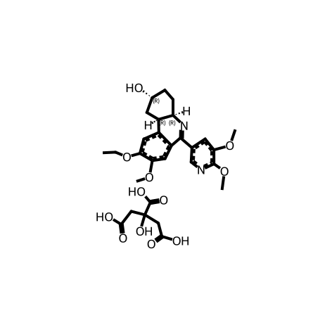 CCOc1cc2c(cc1OC)C(c1cnc(OC)c(OC)c1)=N[C@@H]1CC[C@@H](O)C[C@H]21.O=C(O)CC(O)(CC(=O)O)C(=O)O